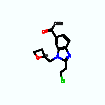 COC(=O)c1ccc2nc(CCCl)n(C[C@@H]3CCO3)c2c1